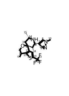 CC1CO[C@@]2(C[C@@H](c3cn(C)nn3)N[C@@H](C)C2)c2cc(C(F)(F)F)sc21